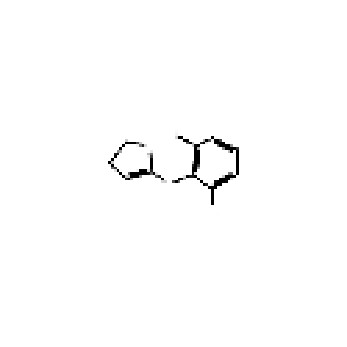 Clc1cccc(Cl)c1NC1=CCCN1